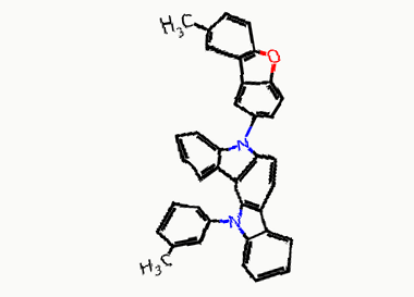 Cc1cccc(-n2c3ccccc3c3ccc4c(c5ccccc5n4-c4ccc5oc6ccc(C)cc6c5c4)c32)c1